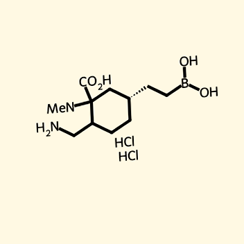 CNC1(C(=O)O)C[C@H](CCB(O)O)CCC1CN.Cl.Cl